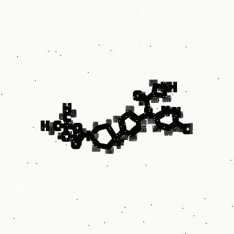 CC(C)(C)OC(=O)N1CCC(F)(c2ccc(N(C(=O)C3CNC3)c3ccc(Cl)nn3)cc2)CC1